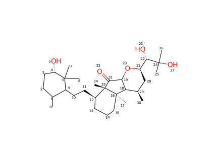 CC1CC[C@H](O)C(C)(C)C1CC[C@@H]1CCC[C@]2(C)C3C(O[C@@H]([C@H](O)C(C)(C)O)C[C@H]3C)C(=O)[C@@]12C